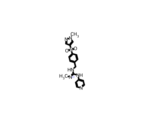 C/N=C(\NCc1ccc(S(=O)(=O)c2cnn(C)c2)cc1)Nc1ccncc1